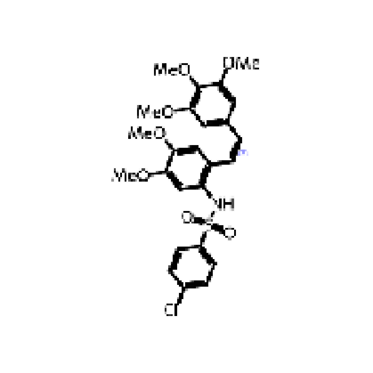 COc1cc(/C=C\c2cc(OC)c(OC)c(OC)c2)c(NS(=O)(=O)c2ccc(Cl)cc2)cc1OC